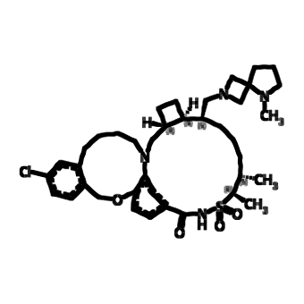 C[C@@H]1[C@@H](C)CCC[C@H](CN2CC3(CCCN3C)C2)[C@@H]2CC[C@H]2CN2CCCCc3cc(Cl)ccc3COc3ccc(cc32)C(=O)NS1(=O)=O